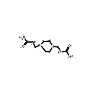 NC(=O)NCN1CCN(CNC(N)=O)CC1